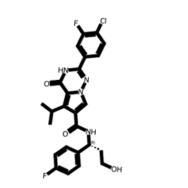 CC(C)c1c(C(=O)N[C@H](CCO)c2ccc(F)cc2)cn2nc(-c3ccc(Cl)c(F)c3)[nH]c(=O)c12